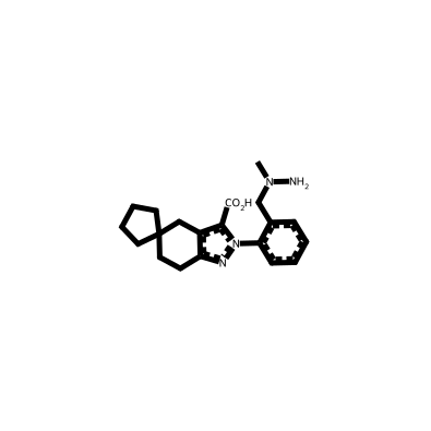 CN(N)Cc1ccccc1-n1nc2c(c1C(=O)O)CC1(CCCC1)CC2